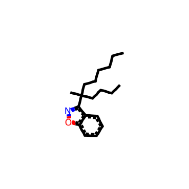 CCCCCCC(C)(CCCC)c1noc2ccccc12